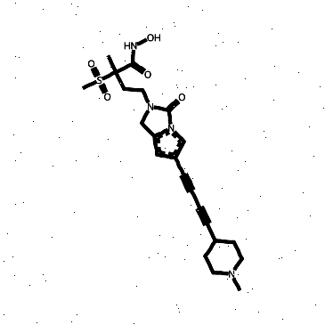 CN1CCC(C#CC#Cc2cc3n(c2)C(=O)N(CCC(C)(C(=O)NO)S(C)(=O)=O)C3)CC1